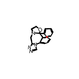 c1ccc(C23OCCN2Cc2nncn2-c2ccccc23)nc1